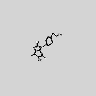 CCc1nc2c(C)c(C#N)c(C)nc2n1-c1ccc(CCO)cc1